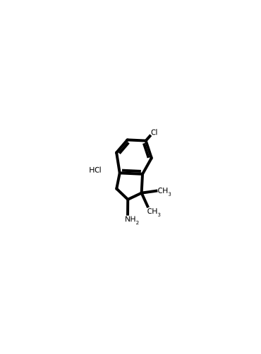 CC1(C)c2cc(Cl)ccc2CC1N.Cl